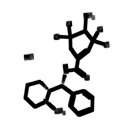 CN1CCCC[C@@H]1[C@H](NC(=O)C1=CC(Cl)(Cl)C(N)C(Cl)(Cl)C1)c1ccccc1.Cl